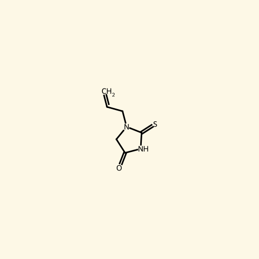 C=CCN1CC(=O)NC1=S